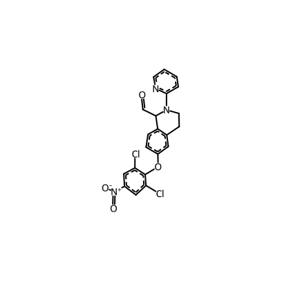 O=CC1c2ccc(Oc3c(Cl)cc([N+](=O)[O-])cc3Cl)cc2CCN1c1ccccn1